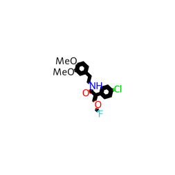 COc1ccc(CCNC(=O)C(=COCF)c2ccc(Cl)cc2)cc1OC